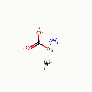 N.O=C([O-])[O-].[Ni+2]